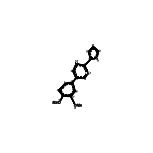 COc1ccc(-c2cnc(-c3cccs3)nc2)cc1OC